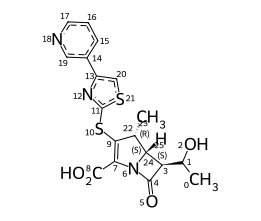 CC(O)[C@H]1C(=O)N2C(C(=O)O)=C(Sc3nc(-c4cccnc4)cs3)[C@H](C)[C@H]12